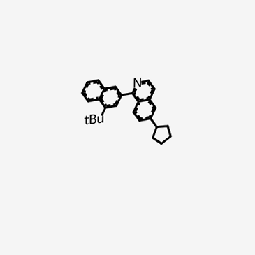 CC(C)(C)c1cc(-c2nccc3cc(C4CCCC4)ccc23)cc2ccccc12